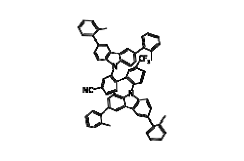 Cc1ccccc1-c1ccc2c(c1)c1cc(-c3ccccc3C)ccc1n2-c1ccc(C(F)(F)F)cc1-c1ccc(C#N)cc1-n1c2ccc(-c3ccccc3C)cc2c2cc(-c3ccccc3C)ccc21